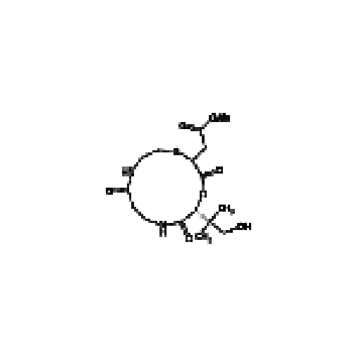 COC(=O)CC1SCCNC(=O)CCNC(=O)[C@@H](C(C)(C)CO)OC1=O